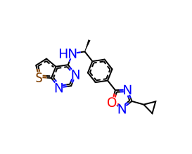 C[C@H](Nc1ncnc2sccc12)c1ccc(-c2nc(C3CC3)no2)cc1